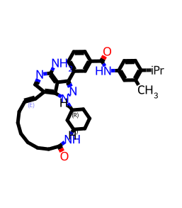 Cc1cc(NC(=O)c2cccc(-c3nn4c5c(cnc(N)c35)/C=C/CCCCCCC(=O)N[C@@H]3CCC[C@@H]4C3)c2)ccc1C(C)C